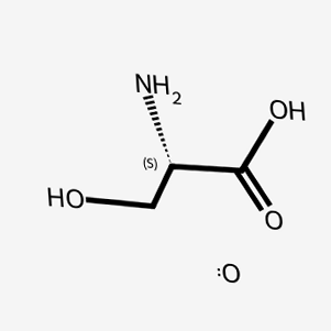 N[C@@H](CO)C(=O)O.[O]